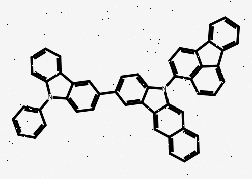 c1ccc(-n2c3ccccc3c3cc(-c4ccc5c(c4)c4cc6ccccc6cc4n5-c4ccc5c6c(cccc46)-c4ccccc4-5)ccc32)cc1